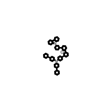 c1ccc(-c2ccc(N(c3ccc(-c4ccccc4)cc3)c3ccc(-c4cccc5c4oc4c(-c6cccc(-n7c8ccccc8c8ccccc87)c6)cccc45)cc3)cc2)cc1